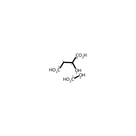 O=C(O)CC(O)C(=O)O.O=C(O)O